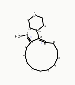 O/N=C1CCCCCCCCCC\C=C\1N1CCOCC1